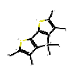 Cc1sc2c(c1C)[Si](C)(C)c1c-2sc(C)c1C